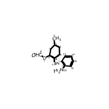 CC1CCC(C(C)C)C(OC=O)C1.Nc1ccccc1